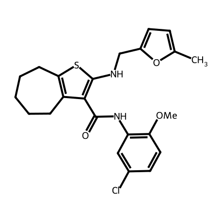 COc1ccc(Cl)cc1NC(=O)c1c(NCc2ccc(C)o2)sc2c1CCCCC2